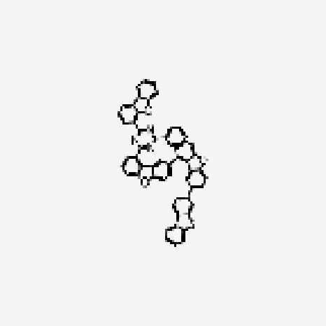 c1ccc(-c2nc(-c3cccc4c3oc3ccccc34)nc(-c3cccc4oc5ccc(-c6cccc7oc8ccc(-c9ccc%10c(c9)sc9ccccc9%10)cc8c67)cc5c34)n2)cc1